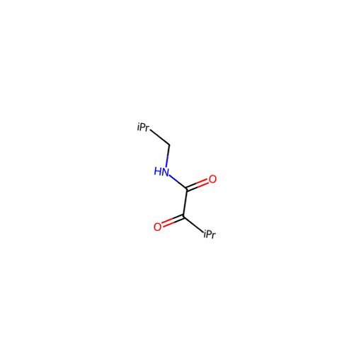 CC(C)CNC(=O)C(=O)C(C)C